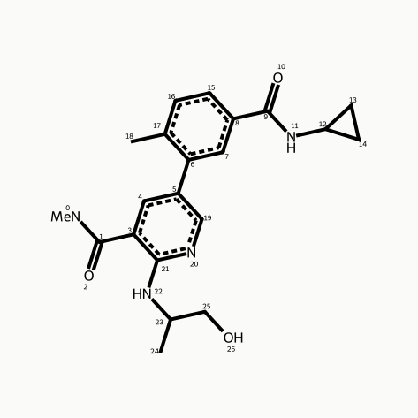 CNC(=O)c1cc(-c2cc(C(=O)NC3CC3)ccc2C)cnc1NC(C)CO